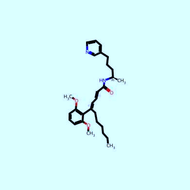 CCCCCC/C(=C\C=C\C(=O)N[C@H](C)CCCc1cccnc1)c1c(OC)cccc1OC